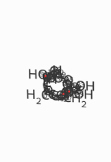 C=C1CC2CCC34CC(O)C(O3)C3C[C@@H](O4)C4OC(CC[C@@H]4O3)CC(=O)OC3CC4OC(CO)C(O)CC4O[C@H]3C[C@H]3OC(CCC3=C)CCC1O2